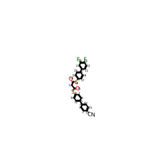 N#Cc1ccc(-c2ccc(SC(=O)CC(=O)Sc3ccc(-c4ccc(F)c(F)c4)cc3)cc2)cc1